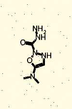 CN(C)C1=CNN(C(=O)NN)O1